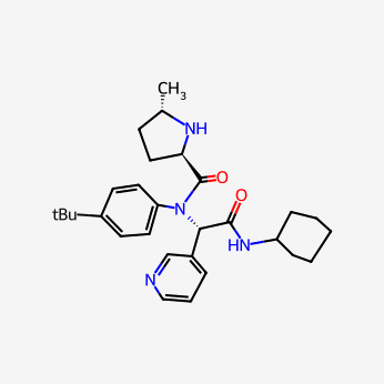 C[C@H]1CC[C@H](C(=O)N(c2ccc(C(C)(C)C)cc2)[C@H](C(=O)NC2CCCCC2)c2cccnc2)N1